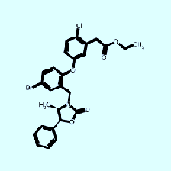 CCOC(=O)Cc1cc(Oc2ccc(Br)cc2CN2C(=O)O[C@@H](c3ccccc3)[C@H]2C)ccc1Cl